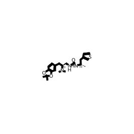 C[C@@H](Cc1ccsc1)NC(=O)NC[C@H](Cc1ccc2c(c1)OC(C)(C)O2)N(C)C